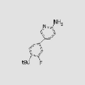 CC(C)(C)c1ccc(-c2ccc(N)nc2)cc1F